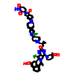 CCc1cccc2cc(O)cc(-c3ncc4c(N5CCC[C@@](C)(O)C5)nc(OCC5(CN6CCC(F)(CN7CC8(CCN(c9ccc%10c(c9)CN(C9CCC(=O)NC9=O)C%10=O)CC8)C7)CC6)CC5)nc4c3F)c12